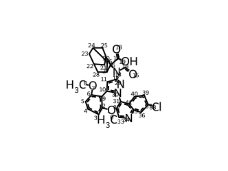 COc1cccc(OC)c1-c1cc(N(C=O)C2(C(=O)O)C3CC4CC(C3)CC2C4)nn1-c1ccnc2cc(Cl)ccc12